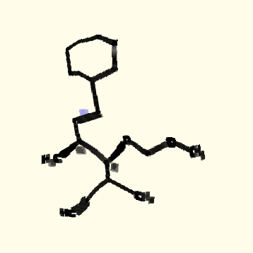 C#CC(C)[C@H](OCOC)[C@@H](C)/C=C/C1CCCCC1